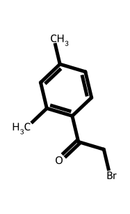 Cc1ccc(C(=O)CBr)c(C)c1